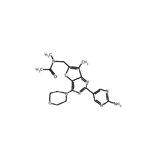 CC(=O)N(C)Cc1sc2c(N3CCOCC3)nc(-c3cnc(N)nc3)nc2c1C